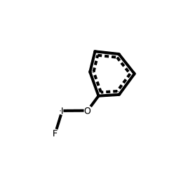 F[I]Oc1ccccc1